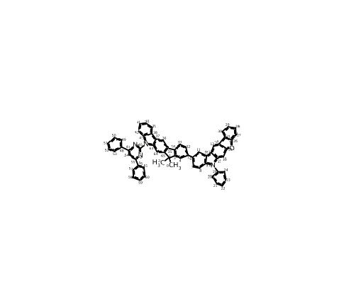 CC1(C)c2cc(-c3ccc4c(c3)c3cc5c(cc3n4-c3ccccc3)oc3ccccc35)ccc2-c2cc3c4ccccc4n(-c4nc(-c5ccccc5)cc(-c5ccccc5)n4)c3cc21